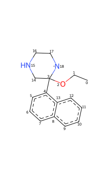 CCOC1(c2cccc3ccccc23)CNCC[N]1